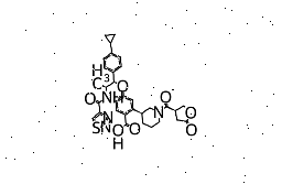 C[C@H](NC(=O)c1csnn1)[C@H](Oc1ccc(C(=O)O)c([C@@H]2CCCN(C(=O)[C@H]3COC(=O)C3)C2)c1)c1ccc(C2CC2)cc1